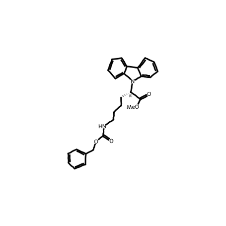 COC(=O)[C@H](CCCCNC(=O)OCc1ccccc1)n1c2ccccc2c2ccccc21